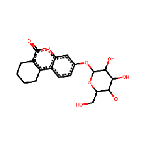 O=c1oc2cc(OC3OC(CO)C(O)C(O)C3O)ccc2c2c1CCCC2